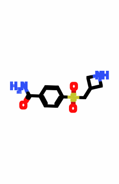 NC(=O)c1ccc(S(=O)(=O)CC2CNC2)cc1